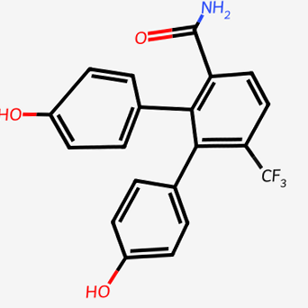 NC(=O)c1ccc(C(F)(F)F)c(-c2ccc(O)cc2)c1-c1ccc(O)cc1